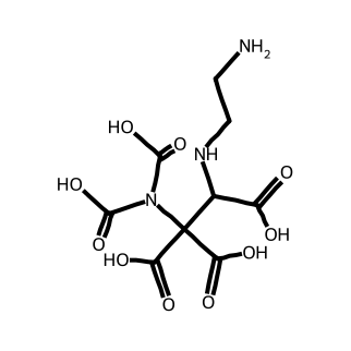 NCCNC(C(=O)O)C(C(=O)O)(C(=O)O)N(C(=O)O)C(=O)O